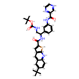 CC(C)(C)OC(=O)NCC(NC(=O)c1cc2cc3cc(C(C)(C)C)ccc3nc2s1)c1cccc(NC(=O)c2cnccn2)c1